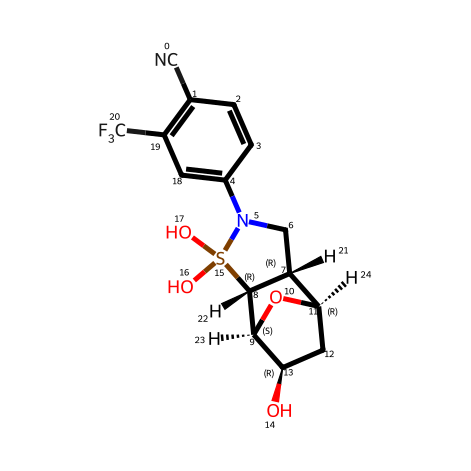 N#Cc1ccc(N2C[C@H]3[C@H]([C@H]4O[C@@H]3C[C@H]4O)S2(O)O)cc1C(F)(F)F